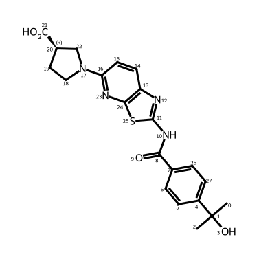 CC(C)(O)c1ccc(C(=O)Nc2nc3ccc(N4CC[C@@H](C(=O)O)C4)nc3s2)cc1